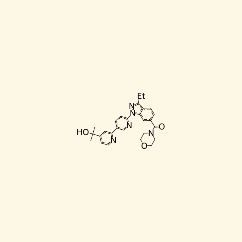 CCc1nn(-c2ccc(-c3cc(C(C)(C)O)ccn3)cn2)c2cc(C(=O)N3CCOCC3)ccc12